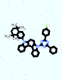 CC1(C)CCC(C)(C)c2cc(-n3c4ccccc4c4c5c6ccccc6n(-c6nc(-c7ccccc7)nc(-c7ccc(F)cc7)n6)c5ccc43)ccc21